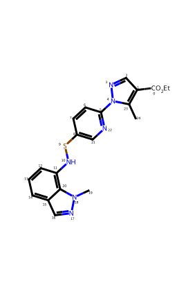 CCOC(=O)c1cnn(-c2ccc(SNc3cccc4cnn(C)c34)cn2)c1C